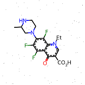 CCn1cc(C(=O)O)c(=O)c2c(F)c(F)c(N3CCNC(C)C3)c(F)c21